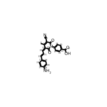 CC1=C(C#N)C(=O)N(c2ccc(C(=O)O)cc2)C(=O)/C1=C\C=Cc1ccc(N)cc1